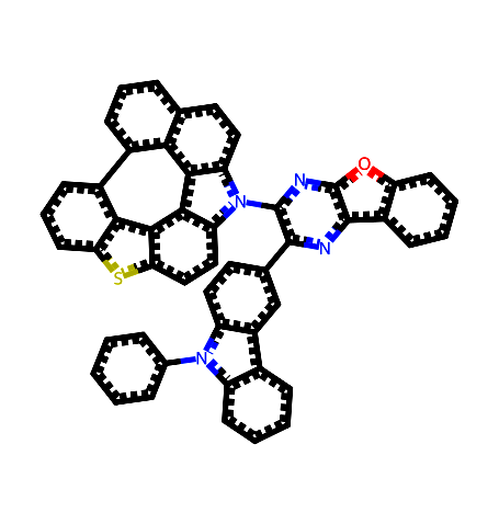 c1ccc(-n2c3ccccc3c3cc(-c4nc5c(nc4-n4c6ccc7cccc8c7c6c6c7c(ccc64)sc4cccc-8c47)oc4ccccc45)ccc32)cc1